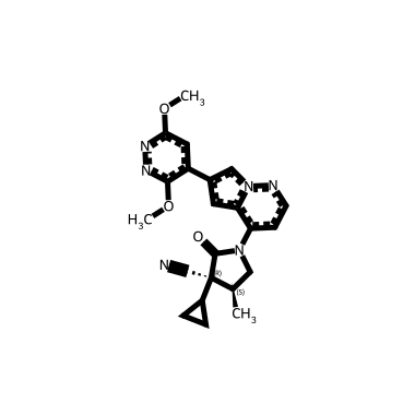 COc1cc(-c2cc3c(N4C[C@@H](C)[C@@](C#N)(C5CC5)C4=O)ccnn3c2)c(OC)nn1